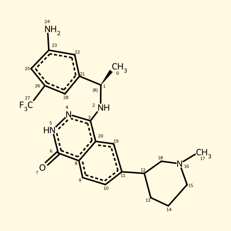 C[C@@H](Nc1n[nH]c(=O)c2ccc(C3CCCN(C)C3)cc12)c1cc(N)cc(C(F)(F)F)c1